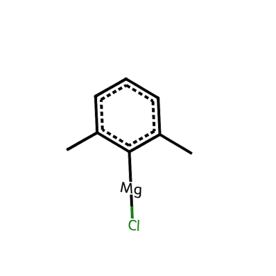 Cc1cccc(C)[c]1[Mg][Cl]